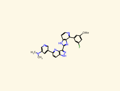 COc1cc(F)cc(-c2nccc3[nH]c(-c4n[nH]c5ccc(-c6cncc(N(C)C)c6)nc45)nc23)c1